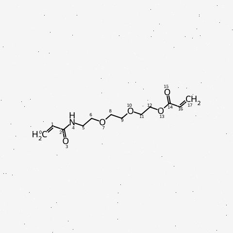 C=CC(=O)NCCOCCOCCOC(=O)C=C